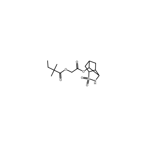 CCC(C)(C)C(=O)OCC(=O)OC1C2CC3C1NS(=O)(=O)C3C2